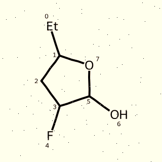 CCC1CC(F)C(O)O1